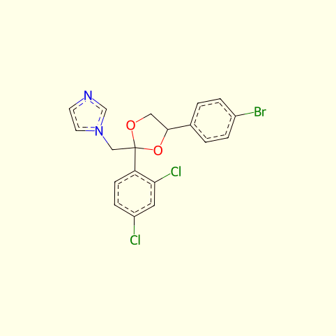 Clc1ccc(C2(Cn3ccnc3)OCC(c3ccc(Br)cc3)O2)c(Cl)c1